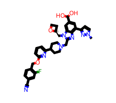 Cn1ccc(-c2cc(C(O)O)cc3c2nc(CN2CCC(c4cccc(OCc5ccc(C#N)cc5F)n4)CC2)n3C[C@@H]2CCO2)n1